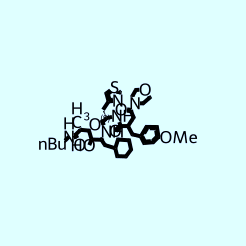 CCCCNC(=O)C(C)CC(O)C(CC1CCCCC1)NC(=O)[C@H](Cc1cscn1)NC(=O)C(CC(=O)N1CCOCC1)Cc1ccc(OC)cc1